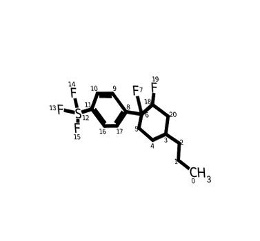 CCCC1CCC(F)(c2ccc(S(F)(F)F)cc2)C(F)C1